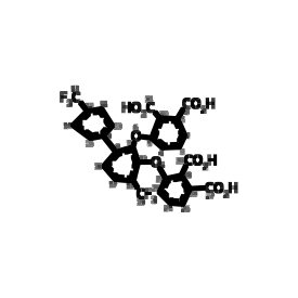 O=C(O)c1cccc(Oc2c(-c3ccc(C(F)(F)F)cc3)ccc(C(F)(F)F)c2Oc2cccc(C(=O)O)c2C(=O)O)c1C(=O)O